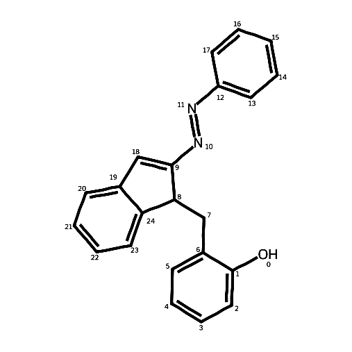 Oc1ccccc1CC1C(N=Nc2ccccc2)=Cc2ccccc21